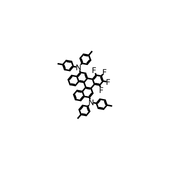 Cc1ccc(N(c2ccc(C)cc2)c2cc3c4c(F)c(F)c(F)c(F)c4c4cc(N(c5ccc(C)cc5)c5ccc(C)cc5)c5ccccc5c4c3c3ccccc23)cc1